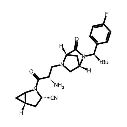 CC(C)(C)[C@H](c1ccc(F)cc1)N1C(=O)[C@@H]2C[C@H]1CN2C[C@H](N)C(=O)N1C2C[C@H]2C[C@H]1C#N